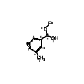 Cc1cncc(B(O)OF)c1